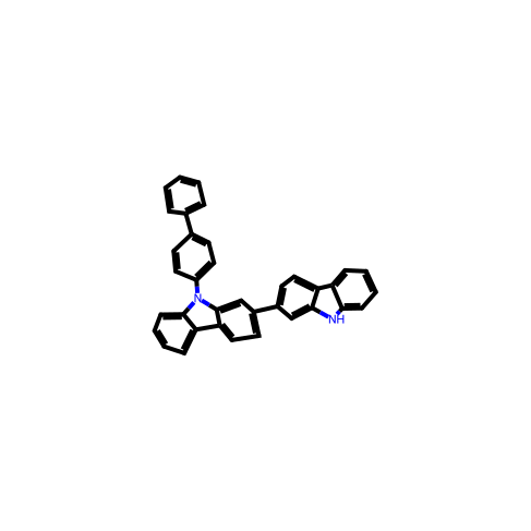 c1ccc(-c2ccc(-n3c4ccccc4c4ccc(-c5ccc6c(c5)[nH]c5ccccc56)cc43)cc2)cc1